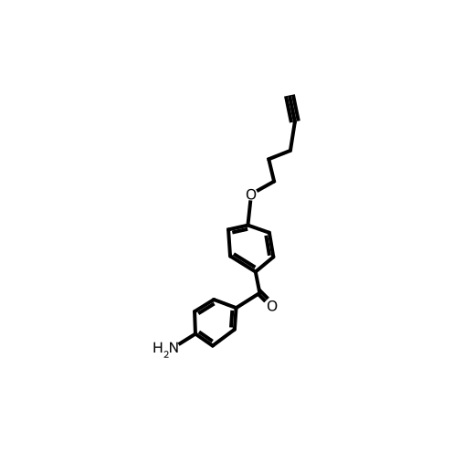 C#CCCCOc1ccc(C(=O)c2ccc(N)cc2)cc1